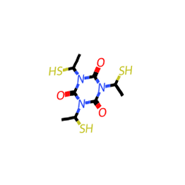 CC(S)n1c(=O)n(C(C)S)c(=O)n(C(C)S)c1=O